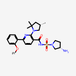 CC(C)Oc1ccccc1-c1ccc(C(=O)NS(=O)(=O)N2CC[C@H](N)C2)c(N2C[C@@H](C)CC2(C)C)n1